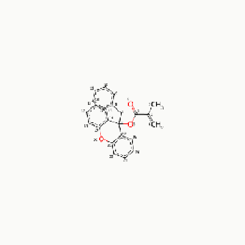 C=C(C)C(=O)OC1(Cc2ccccc2)c2ccccc2Oc2ccccc21